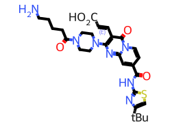 CC(C)(C)c1csc(NC(=O)c2ccn3c(=O)c(/C=C/C(=O)O)c(N4CCN(C(=O)CCCCN)CC4)nc3c2)n1